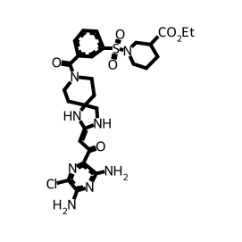 CCOC(=O)C1CCCN(S(=O)(=O)c2cccc(C(=O)N3CCC4(CC3)CN/C(=C\C(=O)c3nc(Cl)c(N)nc3N)N4)c2)C1